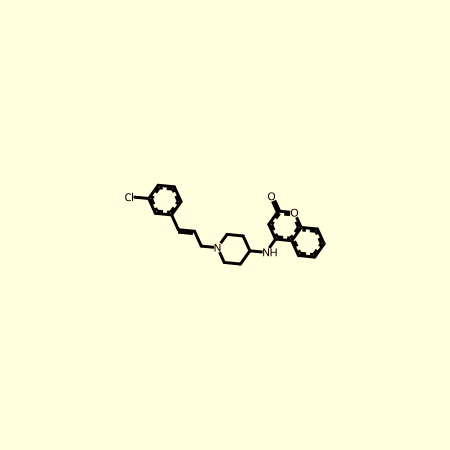 O=c1cc(NC2CCN(CC=Cc3cccc(Cl)c3)CC2)c2ccccc2o1